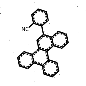 N#Cc1ccccc1-c1cc2c3ccccc3c3ccccc3c2c2ccccc12